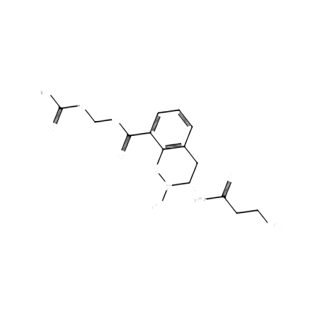 CC(C)C(=O)OCOC(=O)c1cccc2c1OB(O)[C@@H](NC(=O)CCC(F)(F)F)C2